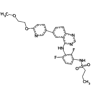 CCCS(=O)(=O)Nc1ccc(F)c(Nc2ncnc3ccc(-c4ccc(OCCOC)nc4)cc23)c1F